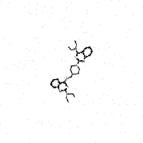 CCN(CC)c1nc(NCC2CCN(c3nc(N(CC)CC)c4ccccc4n3)CC2)c2ccccc2n1